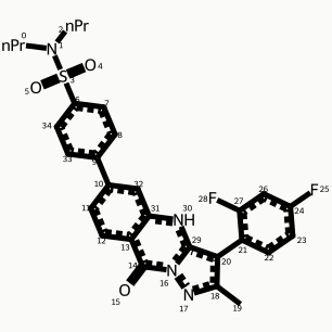 CCCN(CCC)S(=O)(=O)c1ccc(-c2ccc3c(=O)n4nc(C)c(-c5ccc(F)cc5F)c4[nH]c3c2)cc1